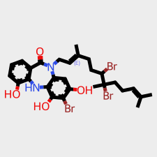 CC(C)=CCCC(C)(Br)C(Br)CC/C(C)=C/CN1C(=O)c2cccc(O)c2Nc2c1cc(O)c(Br)c2O